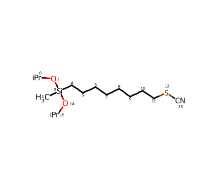 CC(C)O[Si](C)(CCCCCCCCSC#N)OC(C)C